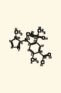 Cc1cc(N(C)c2nccn2C)c(S(C)(=O)=O)cc1C(=O)Cl